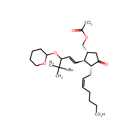 CCCCC(C)(C)C(/C=C/[C@H]1[C@H](COC(=O)C(Cl)(Cl)Cl)CC(=O)[C@@H]1C/C=C\CCCC(=O)O)OC1CCCCO1